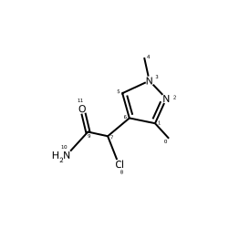 Cc1nn(C)cc1C(Cl)C(N)=O